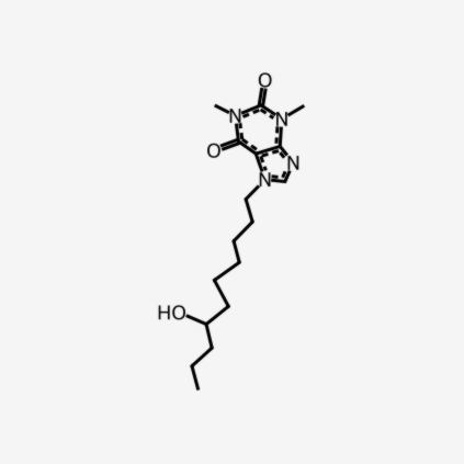 CCCC(O)CCCCCCn1cnc2c1c(=O)n(C)c(=O)n2C